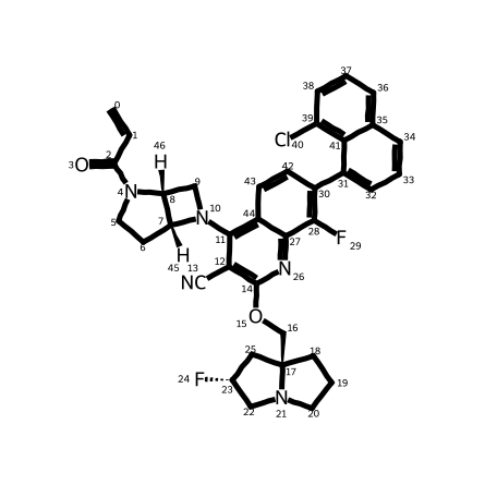 C=CC(=O)N1CC[C@@H]2[C@H]1CN2c1c(C#N)c(OC[C@@]23CCCN2C[C@H](F)C3)nc2c(F)c(-c3cccc4cccc(Cl)c34)ccc12